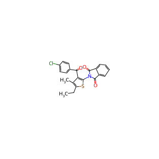 CCc1sc(N2C(=O)c3ccccc3C2=O)c(C(=O)c2ccc(Cl)cc2)c1C